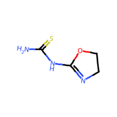 NC(=S)NC1=NCCO1